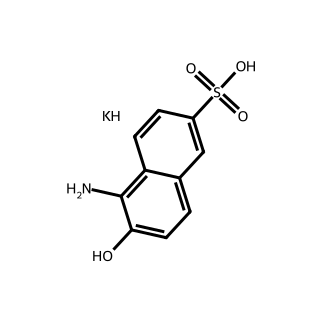 Nc1c(O)ccc2cc(S(=O)(=O)O)ccc12.[KH]